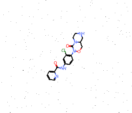 O=C(Nc1ccc(N2OCC3CNCCN3C2=O)c(Cl)c1)c1ccccn1